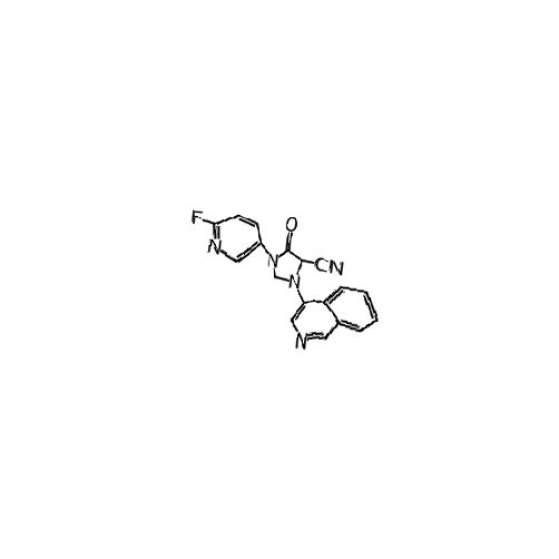 N#CC1C(=O)N(c2ccc(F)nc2)CN1c1cncc2ccccc12